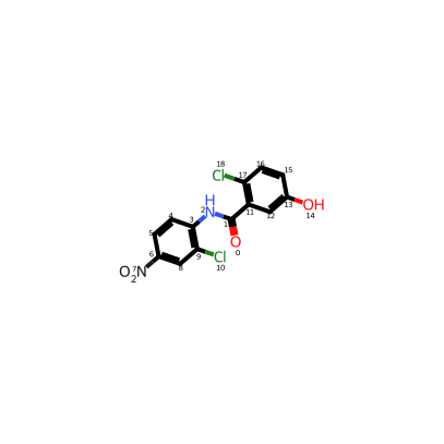 O=C(Nc1ccc([N+](=O)[O-])cc1Cl)c1cc(O)ccc1Cl